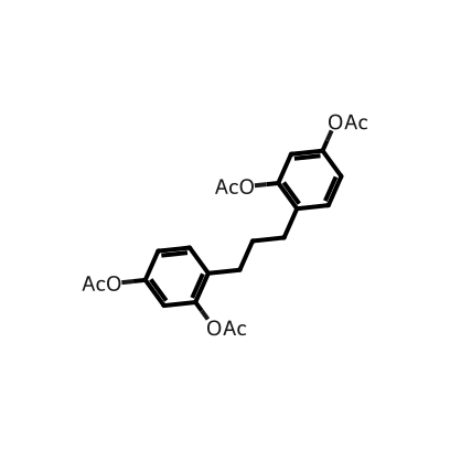 CC(=O)Oc1ccc(CCCc2ccc(OC(C)=O)cc2OC(C)=O)c(OC(C)=O)c1